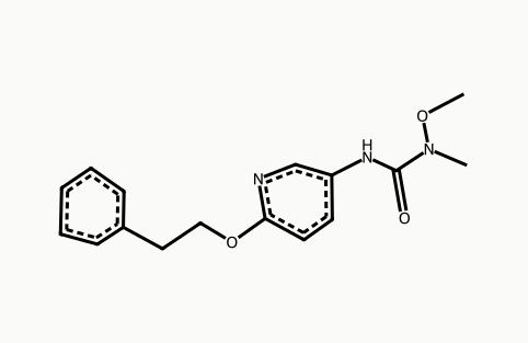 CON(C)C(=O)Nc1ccc(OCCc2ccccc2)nc1